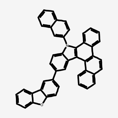 c1ccc2cc(-n3c4ccc(-c5ccc6oc7ccccc7c6c5)cc4c4c5c6ccccc6ccc5c5ccccc5c43)ccc2c1